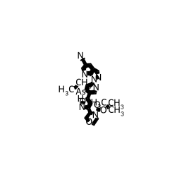 CC(C)[AsH]c1cc(-n2ncc3cc(C#N)cnc32)ncc1-c1cc(C2COCCN2C(=O)OC(C)(C)C)no1